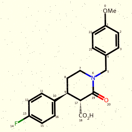 COc1ccc(CN2CC[C@H](c3ccc(F)cc3)[C@@H](C(=O)O)C2=O)cc1